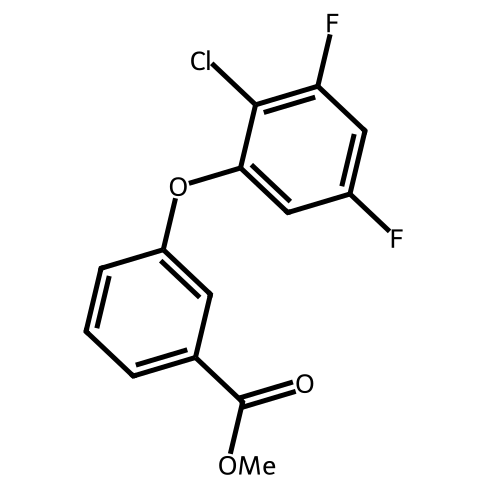 COC(=O)c1cccc(Oc2cc(F)cc(F)c2Cl)c1